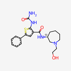 NC(=O)Nc1sc(-c2ccccc2)cc1C(=O)N[C@H]1CCCCN(CCO)C1